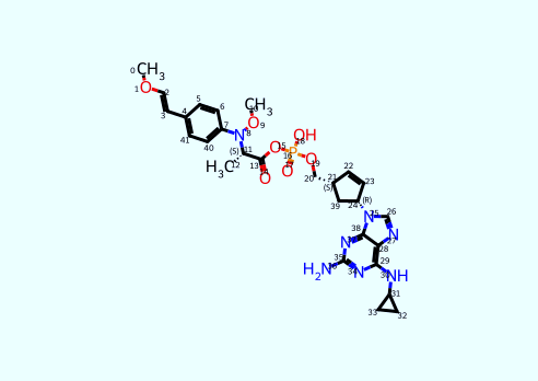 COC=Cc1ccc(N(OC)[C@@H](C)C(=O)OP(=O)(O)OC[C@@H]2C=C[C@H](n3cnc4c(NC5CC5)nc(N)nc43)C2)cc1